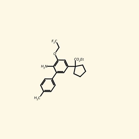 CCOC(=O)C1(c2cc(OCC(F)(F)F)c(N)c(-c3ccc(C)cc3)c2)CCCC1